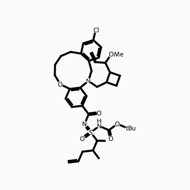 C=CCC(C)C(C)S(=O)(=NC(=O)c1ccc2c(c1)N(CC1CCC1C(C=C)OC)Cc1ccc(Cl)cc1CCCCO2)NC(=O)OC(C)(C)C